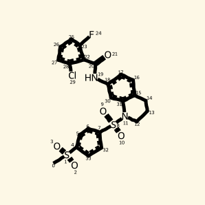 CS(=O)(=O)c1ccc(S(=O)(=O)N2CCCc3ccc(NC(=O)c4c(F)cccc4Cl)cc32)cc1